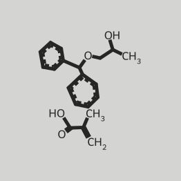 C=C(C)C(=O)O.CC(O)COC(c1ccccc1)c1ccccc1